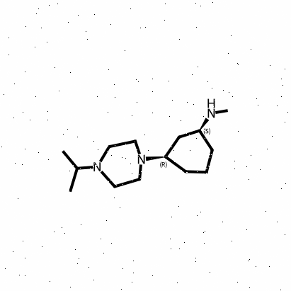 CN[C@H]1CCC[C@@H](N2CCN(C(C)C)CC2)C1